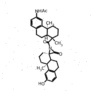 CC(=O)Nc1ccc2c(c1)[C@@]1(C)CCC[C@](C)(C(=O)N3C(=O)[C@]34CCC[C@]3(C)c5cc(O)ccc5CCC43)[C@@H]1CC2